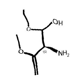 C=C(OC)[C@H](N)C(O)OC